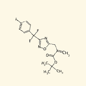 C=C(Cc1nc(C(F)(F)c2ccc(I)cc2)no1)C(=O)OC(C)(C)C